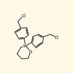 ClCc1ccc([Si]2(c3ccc(CCl)cc3)CCCCO2)cc1